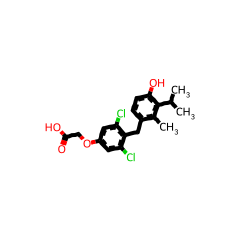 Cc1c(Cc2c(Cl)cc(OCC(=O)O)cc2Cl)ccc(O)c1C(C)C